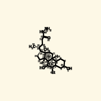 CC[C@@H]1C2C[C@H](O)CC[C@]2(C)[C@H]2CC[C@]3(C)[C@@H]([C@H](C)CCC(=O)NN)CC[C@H]3[C@@H]2[C@@H]1O